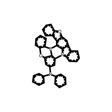 c1ccc(N(c2ccccc2)c2cc3c4c(c2)-n2c5ccccc5c5cc6oc7ccccc7c6c(c52)B4c2ccccc2O3)cc1